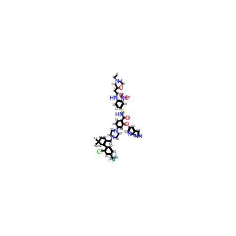 CCN1CCOC(CCNc2ccc(SNC(=O)c3ccc(N4CCN(CC5=C(c6ccc(C(F)(F)F)cc6Cl)CC(C)(C)CC5)CC4)cc3Oc3cnc4[nH]ccc4c3)cc2[N+](=O)[O-])C1